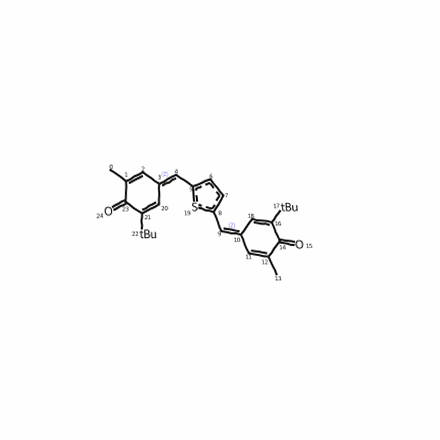 CC1=C/C(=C/c2ccc(/C=C3/C=C(C)C(=O)C(C(C)(C)C)=C3)s2)C=C(C(C)(C)C)C1=O